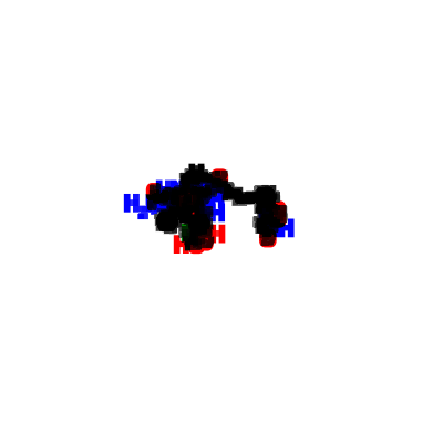 NC(=O)CC[C@H](NC(=O)[C@@H]1CC[C@@H]2CCN(C(=O)NCCCCC#Cc3cccc4c3CN(C3CCC(=O)NC3=O)C4=O)C[C@H](NC(=O)c3cc4cc(C(F)(F)P(=O)(O)O)ccc4[nH]3)C(=O)N21)C(=O)NC(c1ccccc1)c1ccccc1